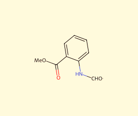 COC(=O)c1ccccc1N[C]=O